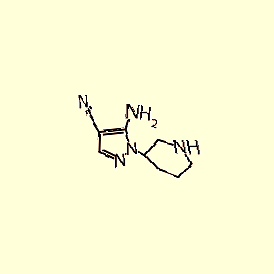 N#Cc1cnn(C2CCCNC2)c1N